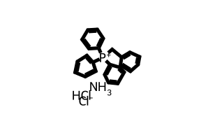 Cl.N.[Cl-].c1ccc(C[P+](c2ccccc2)(c2ccccc2)c2ccccc2)cc1